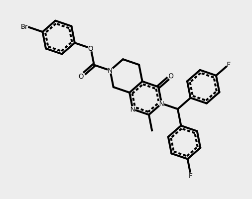 Cc1nc2c(c(=O)n1C(c1ccc(F)cc1)c1ccc(F)cc1)CCN(C(=O)Oc1ccc(Br)cc1)C2